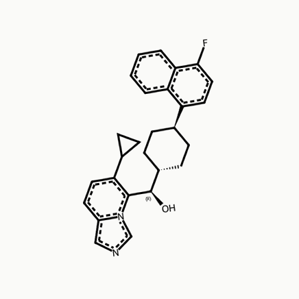 O[C@@H](c1c(C2CC2)ccc2cncn12)[C@H]1CC[C@H](c2ccc(F)c3ccccc32)CC1